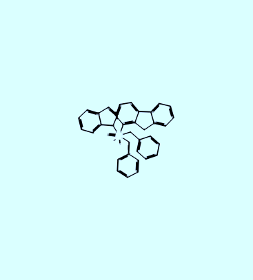 [CH3][Ti]([CH3])(=[SiH2])([CH2]c1ccccc1)([CH2]c1ccccc1)([c]1cccc2c1Cc1ccccc1-2)[CH]1C=Cc2ccccc21